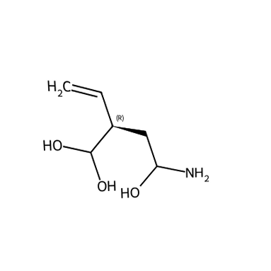 C=C[C@@H](CC(N)O)C(O)O